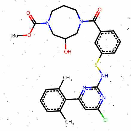 Cc1cccc(C)c1-c1cc(Cl)nc(NSc2cccc(C(=O)N3CCCN(C(=O)OC(C)(C)C)CC(O)C3)c2)n1